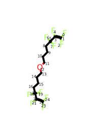 FC(F)=C(F)C(F)(F)CCCCOCCCCC(F)(F)C(F)=C(F)F